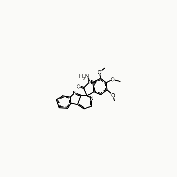 COc1cc(C2(C(=O)NN)N=CC=C3C2=Nc2ccccc23)cc(OC)c1OC